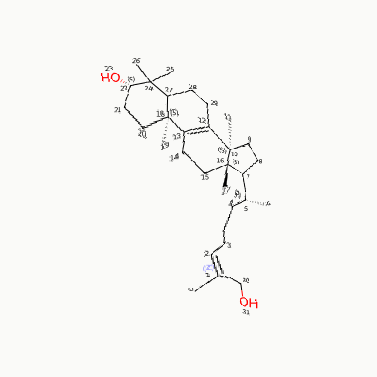 C/C(=C/CC[C@@H](C)C1CC[C@]2(C)C3=C(CC[C@@]12C)[C@@]1(C)CC[C@H](O)C(C)(C)C1CC3)CO